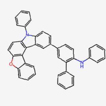 c1ccc(Nc2ccc(-c3ccc4c(c3)c3c5c(ccc3n4-c3ccccc3)oc3ccccc35)cc2-c2ccccc2)cc1